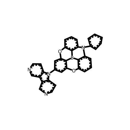 c1ccc(N2c3cccc4c3B3c5c(cc(-n6c7ccncc7c7cnccc76)cc5Oc5cccc2c53)O4)cc1